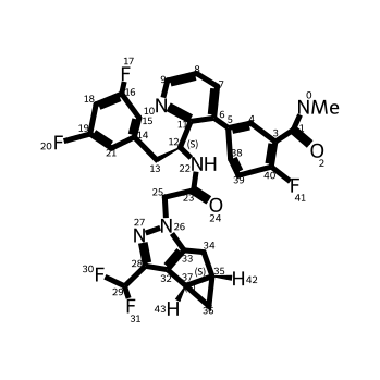 CNC(=O)c1cc(-c2cccnc2[C@H](Cc2cc(F)cc(F)c2)NC(=O)Cn2nc(C(F)F)c3c2C[C@@H]2C[C@H]32)ccc1F